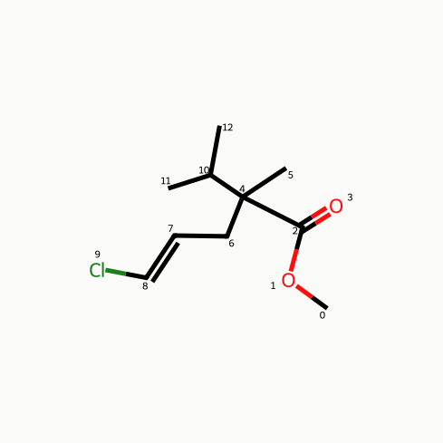 COC(=O)C(C)(CC=CCl)C(C)C